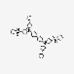 c1ccc(-c2ccc(N(c3ccc(-c4ccc(-n5c6ccc(-c7ccccc7)cc6c6cc(-c7nc8ccccc8s7)ccc65)cc4)cc3)c3ccc(-c4nc5ccccc5s4)cc3)cc2)cc1